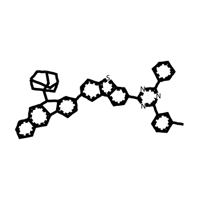 Cc1cccc(-c2nc(-c3ccccc3)nc(-c3ccc4c(c3)sc3ccc(-c5ccc6c(c5)C(C57CC8CC(CC(C8)C5)C7)c5cc7ccccc7cc5-6)cc34)n2)c1